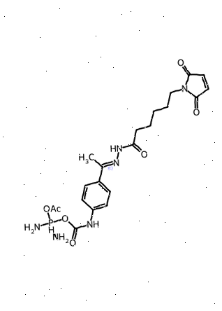 CC(=O)O[PH](N)(N)OC(=O)Nc1ccc(/C(C)=N/NC(=O)CCCCCN2C(=O)C=CC2=O)cc1